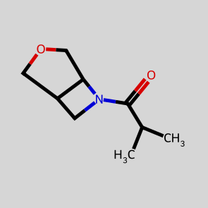 CC(C)C(=O)N1CC2COCC21